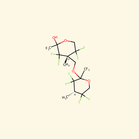 C[C@H]1C(F)(F)COC(OC[C@@]2(C)C(F)(F)COC(O)(C(F)(F)F)C2(F)F)(C(F)(F)F)C1(F)F